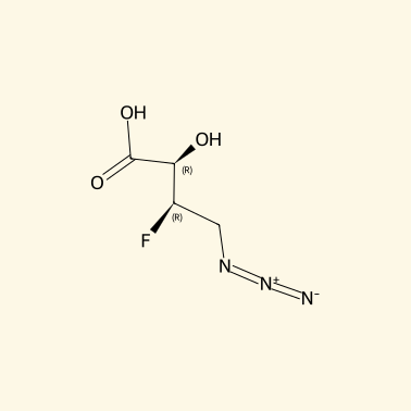 [N-]=[N+]=NC[C@@H](F)[C@H](O)C(=O)O